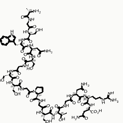 C[C@H](N)C(=O)NCC(=O)N[C@@H](CO)C(=O)N[C@@H](Cc1c[nH]c2ccccc12)C(=O)N[C@@H](CC(N)=O)C(=O)N[C@@H](CO)C(=O)NCC(=O)N[C@@H](CO)C(=O)N[C@@H](CO)C(=O)NCC(=O)N1CCC[C@H]1C(=O)NCC(=O)N[C@@H](CO)C(=O)N[C@H](C(=O)NCC(=O)N[C@@H](CC(N)=O)C(=O)N[C@@H](CCCNC(=N)N)C(=O)N[C@@H](CC(N)=O)C(=O)O)[C@@H](C)O